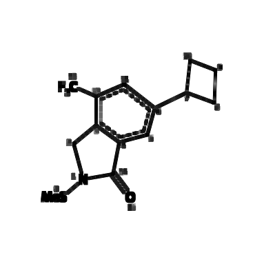 CSN1Cc2c(cc(C3CCC3)cc2C(F)(F)F)C1=O